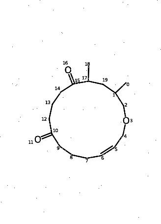 CC1COCC=CCCCC(=O)CCCC(=O)C(C)C1